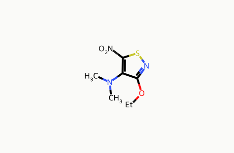 CCOc1nsc([N+](=O)[O-])c1N(C)C